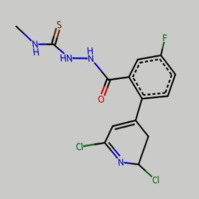 CNC(=S)NNC(=O)c1cc(F)ccc1C1=CC(Cl)=NC(Cl)C1